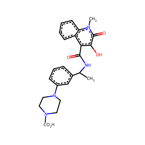 CC(NC(=O)c1c(O)c(=O)n(C)c2ccccc12)c1cccc(N2CCN(C(=O)O)CC2)c1